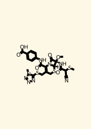 CO[C@@]1(NC(=O)C(C#N)SC)C(=O)N2C(C(=O)Nc3ccc(C(=O)O)cc3)=C(CSc3nnnn3C)CS[C@H]21